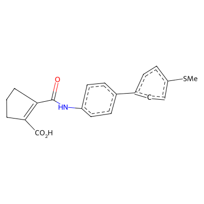 CSc1ccc(-c2ccc(NC(=O)C3=C(C(=O)O)CCC3)cc2)cc1